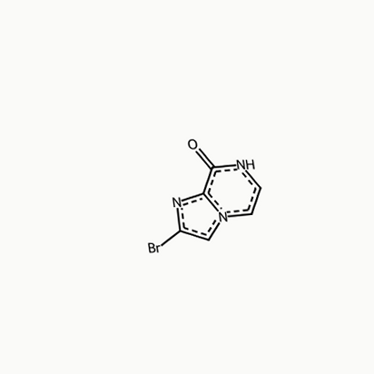 O=c1[nH]ccn2cc(Br)nc12